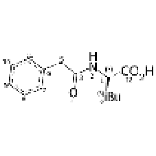 CC[C@H](C)[C@H](NC(=O)Cc1ccccc1)C(=O)O